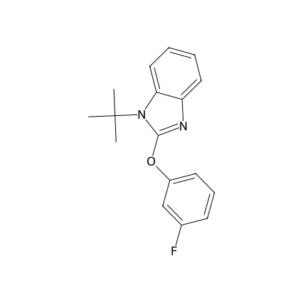 CC(C)(C)n1c(Oc2cccc(F)c2)nc2ccccc21